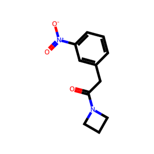 O=C(Cc1cccc([N+](=O)[O-])c1)N1CCC1